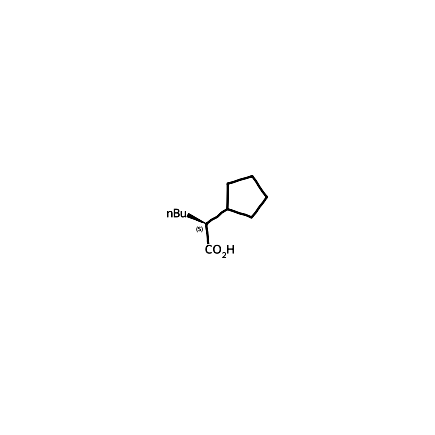 CCCC[C@H](C(=O)O)C1CCCC1